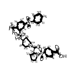 O=C(O)c1ccc(S(=O)(=O)N2CCC[C@H]2C(=O)N2CCC(NS(=O)(=O)c3cc(S(=O)(=O)c4ccccc4)ccc3C(F)(F)F)CC2)cc1